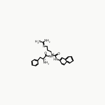 NC(N)=NCCC[C@H](NC(=O)[C@@H](N)Cc1ccccc1)C(=O)Nc1ccc2ccccc2c1